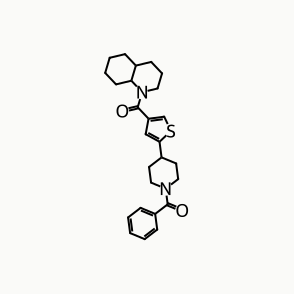 O=C(c1ccccc1)N1CCC(c2cc(C(=O)N3CCCC4CCCCC43)cs2)CC1